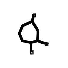 ClC1CCCC(Cl)C(Br)C1